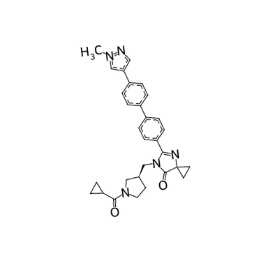 Cn1cc(-c2ccc(-c3ccc(C4=NC5(CC5)C(=O)N4C[C@H]4CCN(C(=O)C5CC5)C4)cc3)cc2)cn1